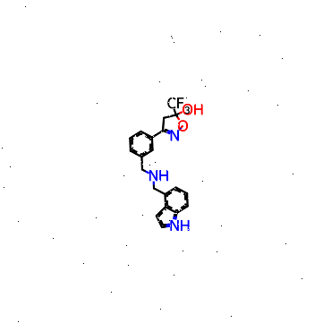 OC1(C(F)(F)F)CC(c2cccc(CNCc3cccc4[nH]ccc34)c2)=NO1